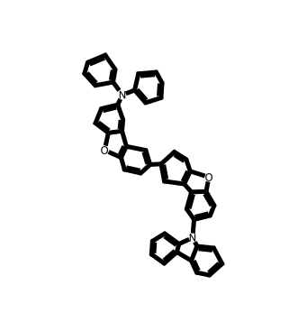 c1ccc(N(c2ccccc2)c2ccc3oc4ccc(-c5ccc6oc7ccc(-n8c9ccccc9c9ccccc98)cc7c6c5)cc4c3c2)cc1